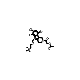 CC(=O)OCC(=O)N1CCc2c(c3c(Br)cc(Cl)c(F)c3n2COCC[Si](C)(C)C)C1